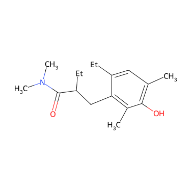 CCc1cc(C)c(O)c(C)c1CC(CC)C(=O)N(C)C